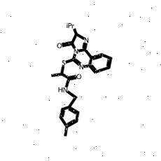 Cc1ccc(CNC(=O)C(C)SC2=Nc3ccccc3C3=NC(C(C)C)C(=O)N23)cc1